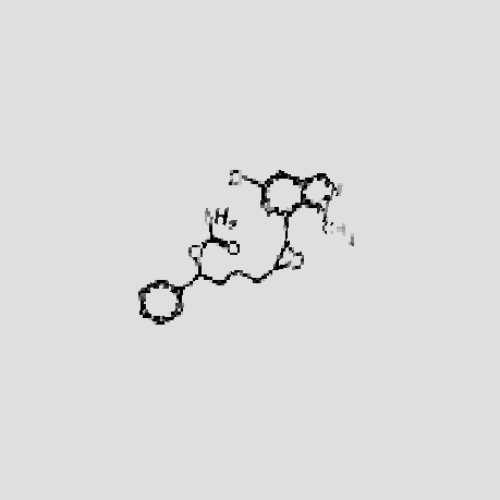 Cn1ncc2cc(Cl)nc(C3OC3CCCC(OC(N)=O)c3ccccc3)c21